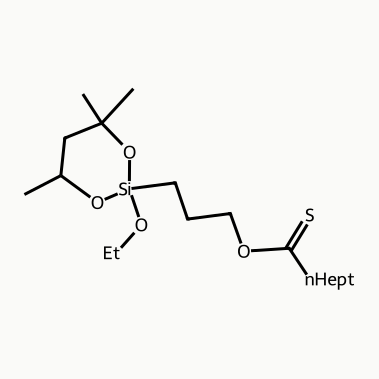 CCCCCCCC(=S)OCCC[Si]1(OCC)OC(C)CC(C)(C)O1